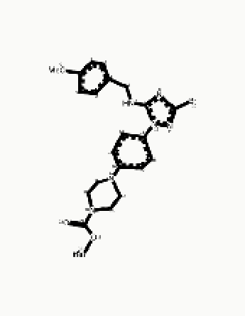 COc1ccc(CNc2nc(Br)nn2-c2ccc(N3CCN(C(=O)OC(C)(C)C)CC3)cc2)cc1